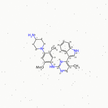 COc1cc(N2CCC(N)CC2)c(C)cc1Nc1ncc(C)c(-c2c[nH]c3ccccc23)n1